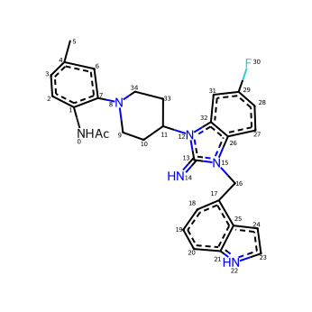 CC(=O)Nc1ccc(C)cc1N1CCC(n2c(=N)n(Cc3cccc4[nH]ccc34)c3ccc(F)cc32)CC1